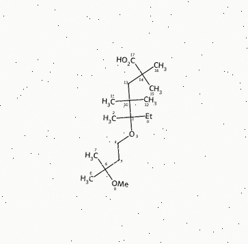 CCC(C)(OCCC(C)(C)OC)C(C)(C)CC(C)(C)C(=O)O